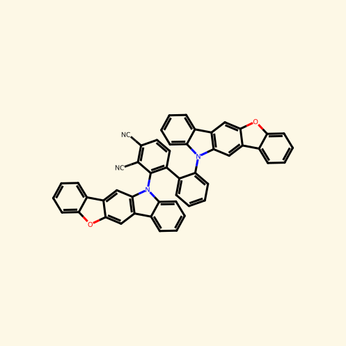 N#Cc1ccc(-c2ccccc2-n2c3ccccc3c3cc4oc5ccccc5c4cc32)c(-n2c3ccccc3c3cc4oc5ccccc5c4cc32)c1C#N